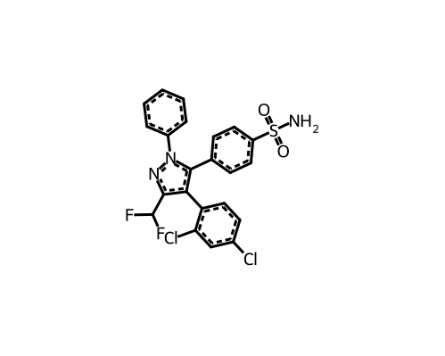 NS(=O)(=O)c1ccc(-c2c(-c3ccc(Cl)cc3Cl)c(C(F)F)nn2-c2ccccc2)cc1